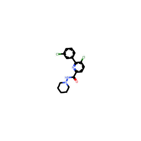 O=C(NN1CCCCC1)c1ccc(Cl)c(-c2cccc(Cl)c2)n1